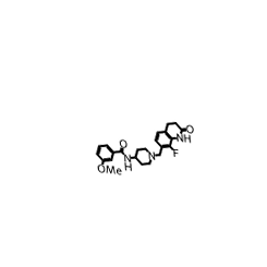 COc1cccc(C(=O)NC2CCN(Cc3ccc4c(c3F)NC(=O)CC4)CC2)c1